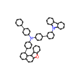 c1ccc(-c2ccc(N(c3ccc(-c4cccc(-n5c6ccccc6c6ccccc65)c4)cc3)c3ccc(-c4cccc5ccc6oc7ccccc7c6c45)cc3)cc2)cc1